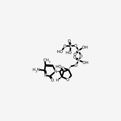 Cc1cn([C@@H]2O[C@@]3(COP(=O)(O)OP(=O)(O)OP(=O)(O)OO)CO[C@H]2C3O)c(=O)nc1N